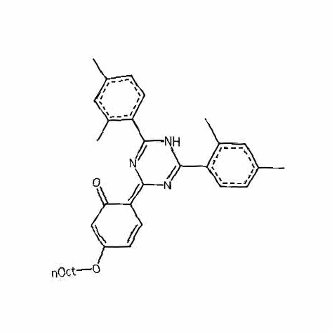 CCCCCCCCOC1=CC(=O)C(=C2N=C(c3ccc(C)cc3C)NC(c3ccc(C)cc3C)=N2)C=C1